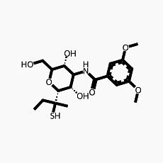 CCC(C)(S)[C@@H]1OC(CO)[C@H](O)C(NC(=O)c2cc(OC)cc(OC)c2)[C@@H]1O